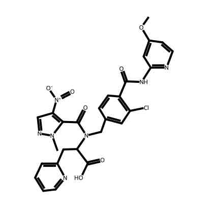 COc1ccnc(NC(=O)c2ccc(CN(C(=O)c3c([N+](=O)[O-])cnn3C)C(Cc3ccccn3)C(=O)O)cc2Cl)c1